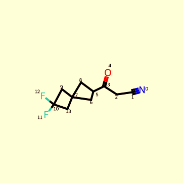 N#CCC(=O)C1CC2(C1)CC(F)(F)C2